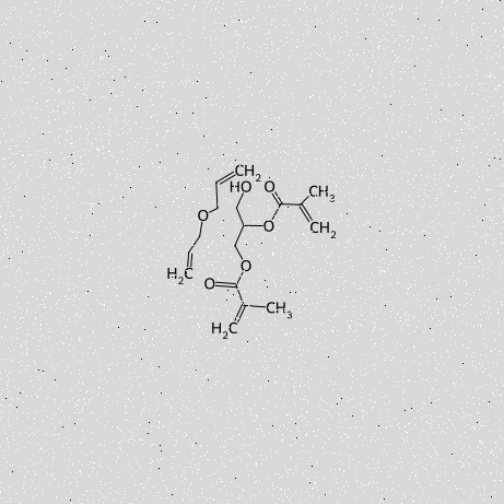 C=C(C)C(=O)OCC(CO)OC(=O)C(=C)C.C=CCOCC=C